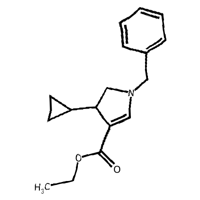 CCOC(=O)C1=CN(Cc2ccccc2)CC1C1CC1